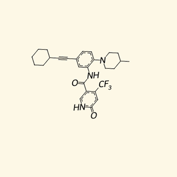 CC1CCN(c2ccc(C#CC3CCCCC3)cc2NC(=O)c2c[nH]c(=O)cc2C(F)(F)F)CC1